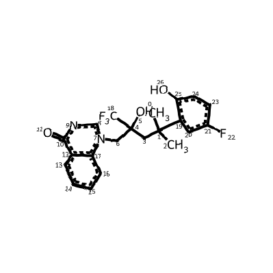 CC(C)(CC(O)(Cn1cnc(=O)c2ccccc21)C(F)(F)F)c1cc(F)ccc1O